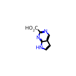 O=C(O)c1ncc2cc[nH]c2n1